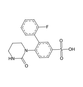 O=C1NCCCN1c1ccc(S(=O)(=O)O)cc1-c1ccccc1F